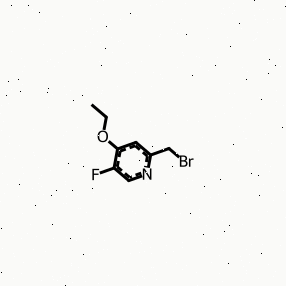 CCOc1cc(CBr)ncc1F